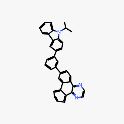 CC(C)n1c2ccccc2c2cc(-c3cccc(-c4ccc5c(c4)c4ccccc4c4nccnc54)c3)ccc21